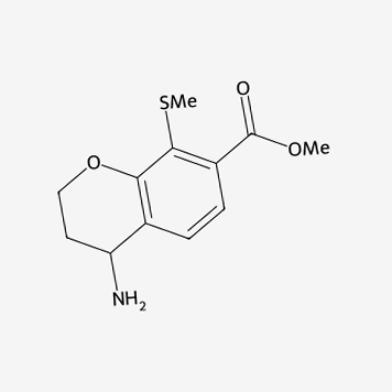 COC(=O)c1ccc2c(c1SC)OCCC2N